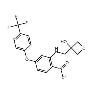 O=[N+]([O-])c1ccc(Oc2ccc(C(F)(F)F)nc2)cc1NCC1(O)COC1